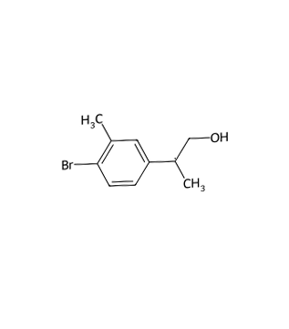 C[C](CO)c1ccc(Br)c(C)c1